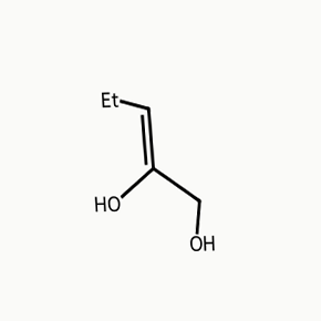 CC/C=C(\O)CO